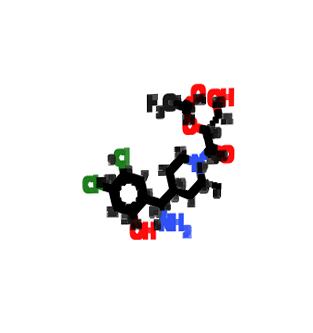 C[C@@H]1C[C@@H]([C@@H](N)c2cc(Cl)c(Cl)cc2O)CCN1C(=O)[C@@H](CO)OC(=O)C(F)(F)F